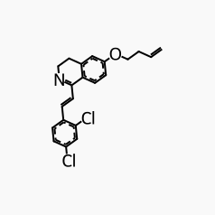 C=CCCOc1ccc2c(c1)CCN=C2/C=C/c1ccc(Cl)cc1Cl